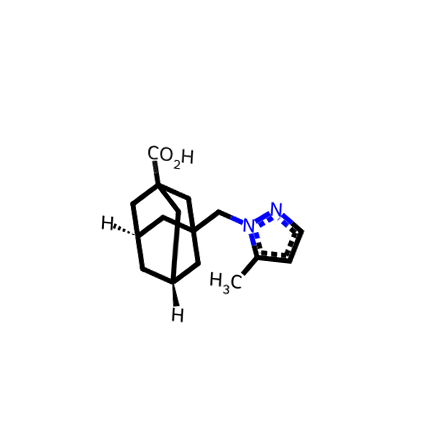 Cc1ccnn1CC12C[C@H]3C[C@@H](C1)CC(C(=O)O)(C3)C2